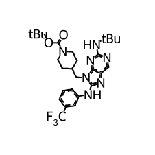 CC(C)(C)Nc1ncc2nc(Nc3cccc(C(F)(F)F)c3)n(CC3CCN(C(=O)OC(C)(C)C)CC3)c2n1